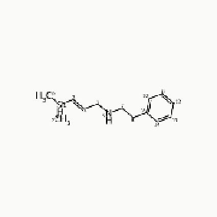 C[SiH](C)C=CCNCCc1ccccc1